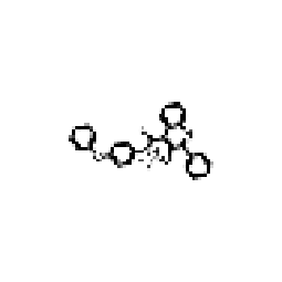 COc1c(-c2ccccc2)nc2ccccc2c1C(=O)Nc1ccc(Oc2ccccc2)cc1